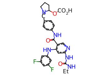 CCNC(=O)Nc1cc(Nc2cc(F)cc(F)c2)c(C(=O)Nc2ccc(CN3CCCC3OC(=O)O)cc2)cn1